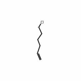 C=CCCC[CH]Cl